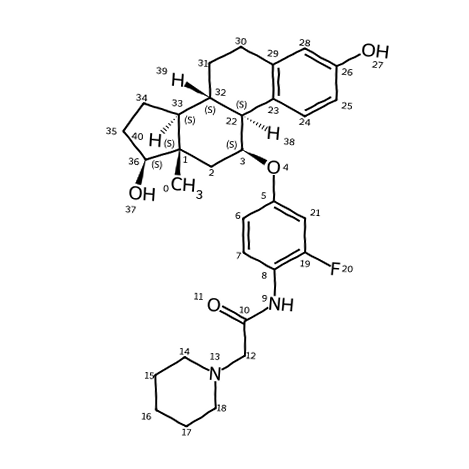 C[C@]12C[C@H](Oc3ccc(NC(=O)CN4CCCCC4)c(F)c3)[C@@H]3c4ccc(O)cc4CC[C@H]3[C@@H]1CC[C@@H]2O